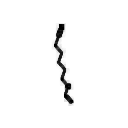 C=COCCCCCC#N